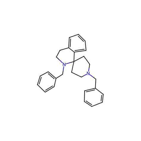 c1ccc(CN2CCC3(CC2)c2ccccc2CCN3Cc2ccccc2)cc1